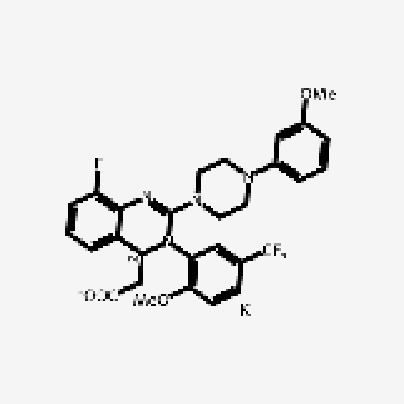 COc1cccc(N2CCN(C3=Nc4c(F)cccc4[C@H](CC(=O)[O-])N3c3cc(C(F)(F)F)ccc3OC)CC2)c1.[K+]